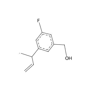 [CH2]C(C=C)c1cc(F)cc(CO)c1